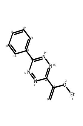 C=C(OCC)c1nnc(-c2ccccc2)nn1